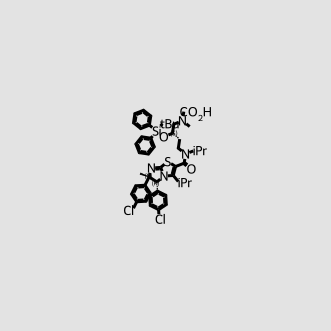 CC(C)C1=C(C(=O)N(CC[C@@H](CN(C)C(=O)O)O[Si](c2ccccc2)(c2ccccc2)C(C)(C)C)C(C)C)SC2=N[C@@](C)(c3ccc(Cl)cc3)[C@@H](c3ccc(Cl)cc3)N21